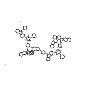 c1ccc(-c2nc(-c3ccc(-n4c5ccccc5c5cc6ccccc6cc54)c(-c4cc5ccccc5c5sc6ccccc6c45)c3)nc(-c3ccc4c(c3)c3ccccc3n4-c3ccc(-c4ccc5cc(-c6cc(-c7nc(-c8ccccc8)nc(-c8ccc9c%10ccccc%10n(-c%10ccccc%10)c9c8)n7)ccc6-n6c7ccccc7c7cc8ccccc8cc76)c6c7ccccc7sc6c5c4)cc3)n2)cc1